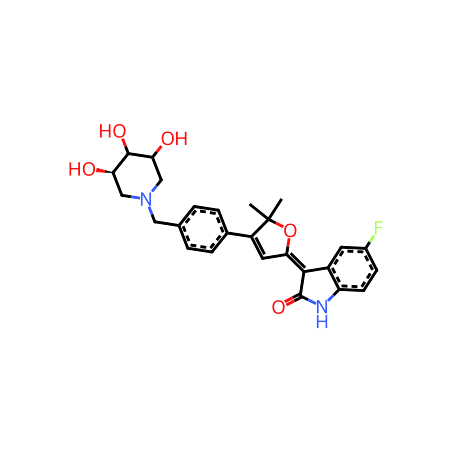 CC1(C)O/C(=C2/C(=O)Nc3ccc(F)cc32)C=C1c1ccc(CN2CC(O)C(O)[C@H](O)C2)cc1